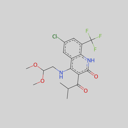 COC(CNc1c(C(=O)C(C)C)c(=O)[nH]c2c(C(F)(F)F)cc(Cl)cc12)OC